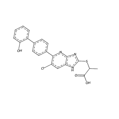 CC(Sc1nc2nc(-c3ccc(-c4ccccc4O)cc3)c(Cl)cc2[nH]1)C(=O)O